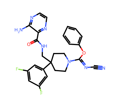 N#C/N=C(\Oc1ccccc1)N1CCC(CNC(=O)c2nccnc2N)(c2cc(F)cc(F)c2)CC1